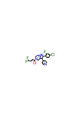 O=C(/C=C/C(F)F)N1CCn2nc(-c3ccc(Cl)cc3F)c(-c3ccncc3)c2C1